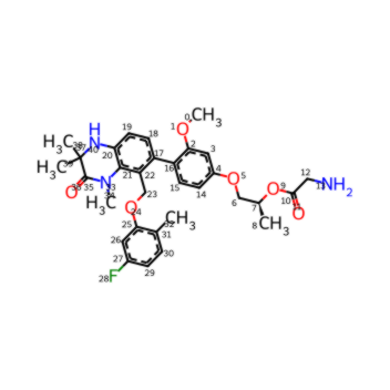 COc1cc(OC[C@H](C)OC(=O)CN)ccc1-c1ccc2c(c1COc1cc(F)ccc1C)N(C)C(=O)C(C)(C)N2